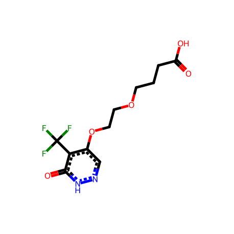 O=C(O)CCCOCCOc1cn[nH]c(=O)c1C(F)(F)F